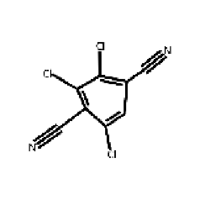 N#Cc1cc(Cl)c(C#N)c(Cl)c1Cl